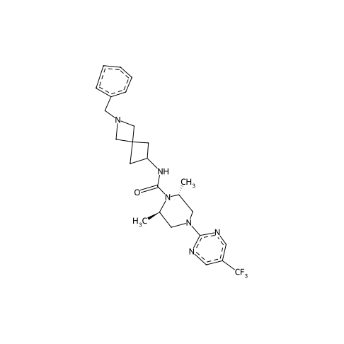 C[C@@H]1CN(c2ncc(C(F)(F)F)cn2)C[C@@H](C)N1C(=O)NC1CC2(C1)CN(Cc1ccccc1)C2